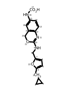 C1CC1.Cc1ccc(CNC2=Nc3ccc(NC(=O)O)cc3CO2)o1